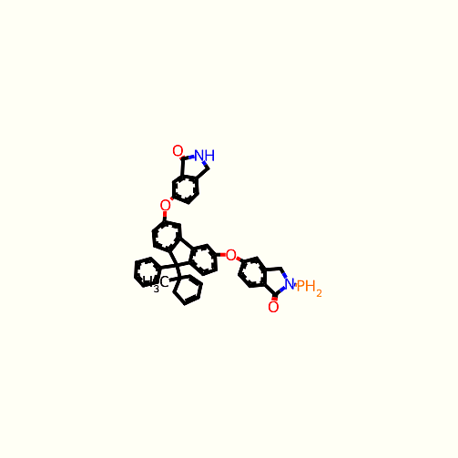 CC1(C2(c3ccccc3)c3ccc(Oc4ccc5c(c4)CN(P)C5=O)cc3-c3cc(Oc4ccc5c(c4)C(=O)NC5)ccc32)C=CC=CC1